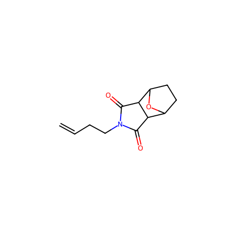 C=CCCN1C(=O)C2C3CCC(O3)C2C1=O